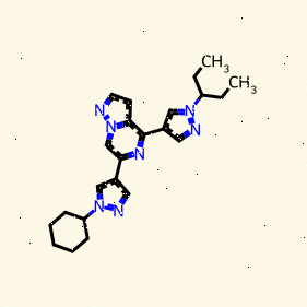 CCC(CC)n1cc(-c2nc(-c3cnn(C4CCCCC4)c3)cn3nccc23)cn1